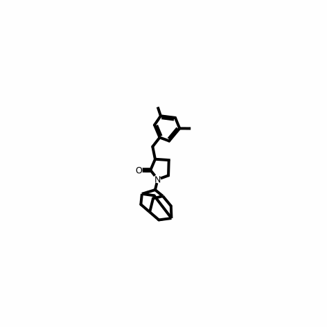 Cc1cc(C)cc(CC2CCN(C3C4CC5CC(C4)CC3C5)C2=O)c1